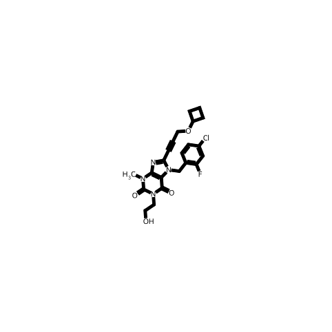 Cn1c(=O)n(CCO)c(=O)c2c1nc(C#CCOC1CCC1)n2Cc1ccc(Cl)cc1F